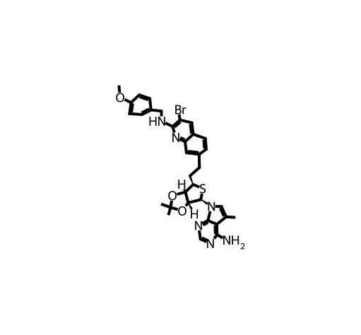 COc1ccc(CNc2nc3cc(CC[C@H]4S[C@@H](n5cc(C)c6c(N)ncnc65)[C@@H]5OC(C)(C)O[C@@H]54)ccc3cc2Br)cc1